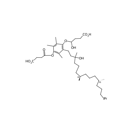 Cc1c(C)c(OC(O)CCC(=O)O)c(CCC(C)(O)CCC[C@H](C)CCC[C@H](C)CCCC(C)C)c(C)c1OC(=O)CCC(=O)O